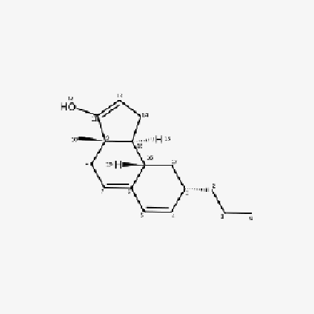 CCC[C@@H]1C=CC2=CC[C@]3(C)C(O)=CC[C@H]3[C@@H]2C1